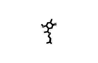 COC1CC(C)C(=O)CC1C(C)OCC=C(C)C